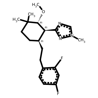 CO[C@@H]1[C@@H](c2ncn(C)n2)[C@@H](CCc2ccc(F)cc2F)CCC1(C)C